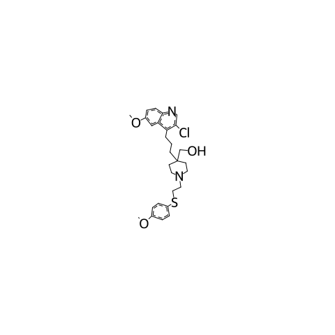 COc1ccc(SCCN2CCC(CO)(CCCc3c(Cl)cnc4ccc(OC)cc34)CC2)cc1